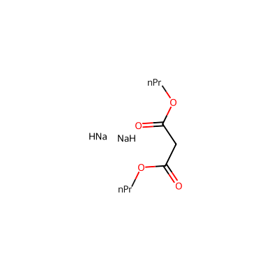 CCCOC(=O)CC(=O)OCCC.[NaH].[NaH]